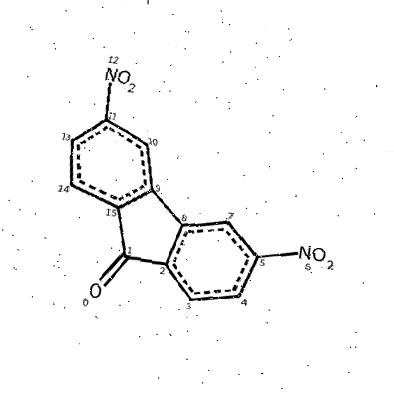 O=C1c2ccc([N+](=O)[O-])cc2-c2cc([N+](=O)[O-])ccc21